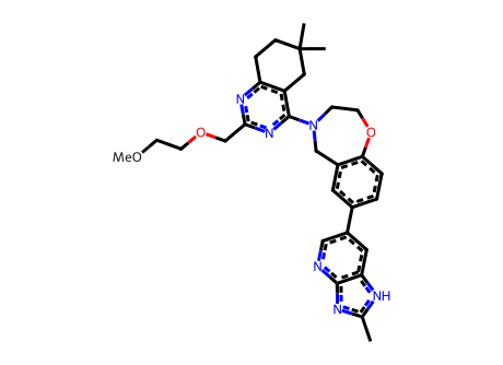 COCCOCc1nc2c(c(N3CCOc4ccc(-c5cnc6nc(C)[nH]c6c5)cc4C3)n1)CC(C)(C)CC2